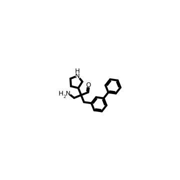 NCC(C=O)(Cc1cccc(-c2ccccc2)c1)C1CCNC1